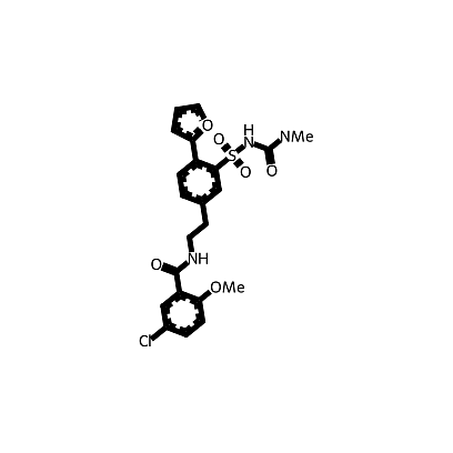 CNC(=O)NS(=O)(=O)c1cc(CCNC(=O)c2cc(Cl)ccc2OC)ccc1-c1ccco1